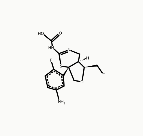 Nc1ccc(F)c([C@]23CO[C@H](CF)[C@@H]2CN=C(NC(=O)O)S3)c1